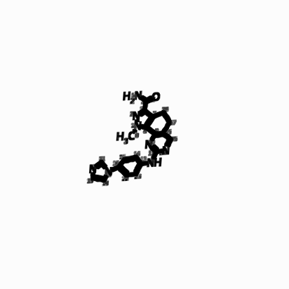 Cn1nc(C(N)=O)c2c1-c1nc(Nc3ccc(-n4ccnc4)cc3)ncc1CC2